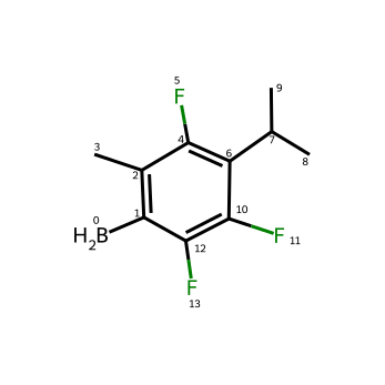 Bc1c(C)c(F)c(C(C)C)c(F)c1F